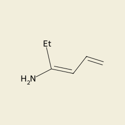 C=C/C=C(/N)CC